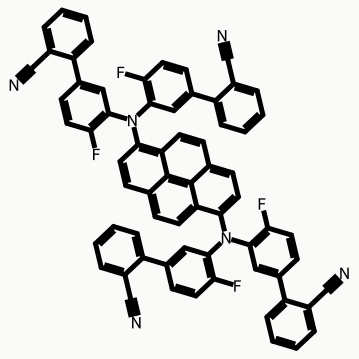 N#Cc1ccccc1-c1ccc(F)c(N(c2cc(-c3ccccc3C#N)ccc2F)c2ccc3ccc4c(N(c5cc(-c6ccccc6C#N)ccc5F)c5cc(-c6ccccc6C#N)ccc5F)ccc5ccc2c3c54)c1